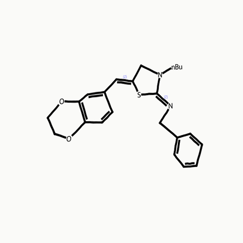 CCCCN1C/C(=C/c2ccc3c(c2)OCCO3)S/C1=N\Cc1ccccc1